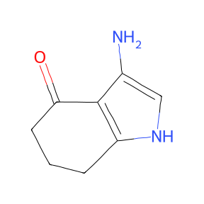 Nc1c[nH]c2c1C(=O)CCC2